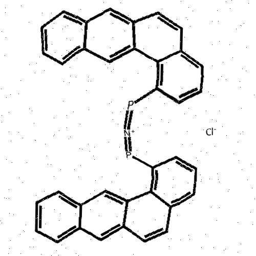 [Cl-].c1ccc2cc3c(ccc4cccc(P=[N+]=Pc5cccc6ccc7cc8ccccc8cc7c56)c43)cc2c1